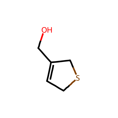 OCC1=CCSC1